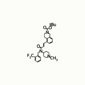 CN1CCC(N(Cc2ccccc2C(F)(F)F)C(=O)/C=C/c2cccc3c2CCN(C(=O)OC(C)(C)C)C3)CC1